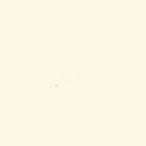 CN(C(=O)OC(C)(C)C)[C@H]1C[C@H](Nc2nc(Cl)ccc2[N+](=O)[O-])C1